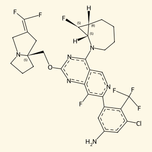 Nc1cc(Cl)c(C(F)(F)F)c(-c2ncc3c(N4CCCC[C@H]5[C@H](F)[C@H]54)nc(OC[C@@]45CCCN4CC(=C(F)F)C5)nc3c2F)c1